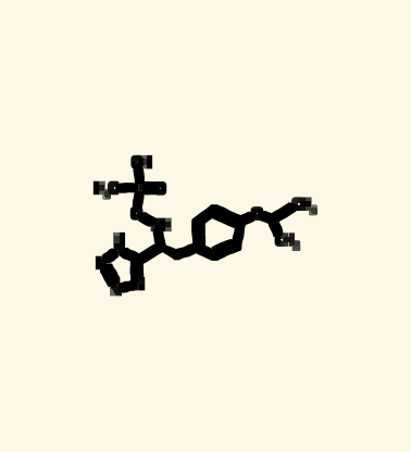 CC(C)Oc1ccc(C[C@H](NOP(C)(=O)O)c2nnn[nH]2)cc1